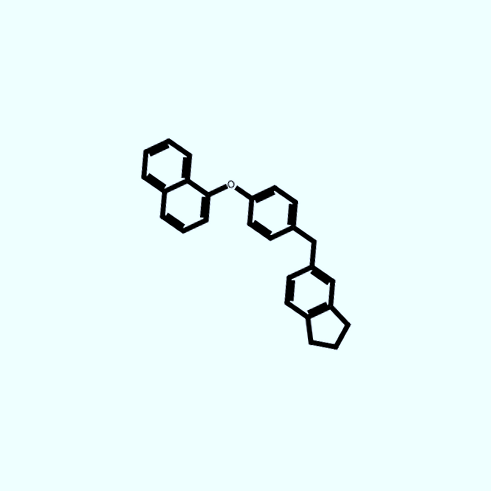 c1ccc2c(Oc3ccc(Cc4ccc5c(c4)CCC5)cc3)cccc2c1